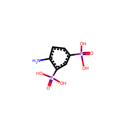 Nc1ccc(P(=O)(O)O)cc1P(=O)(O)O